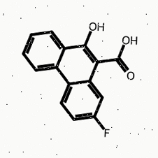 O=C(O)c1c(O)c2ccccc2c2ccc(F)cc12